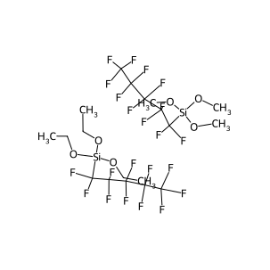 CCO[Si](OCC)(OCC)C(F)(F)C(F)(F)C(F)(F)C(F)(F)C(F)(F)F.CO[Si](OC)(OC)C(F)(F)C(F)(F)C(F)(F)C(F)(F)C(F)(F)F